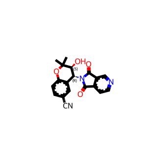 CC1(C)Oc2ccc(C#N)cc2[C@@H](N2C(=O)c3ccncc3C2=O)[C@@H]1O